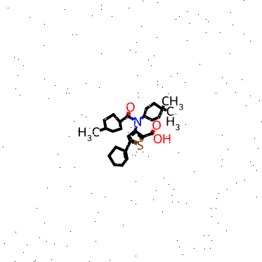 CC1CCC(C(=O)N(c2cc(C3=CCCCC3)sc2C(=O)O)C2CCC(C)(C)CC2)CC1